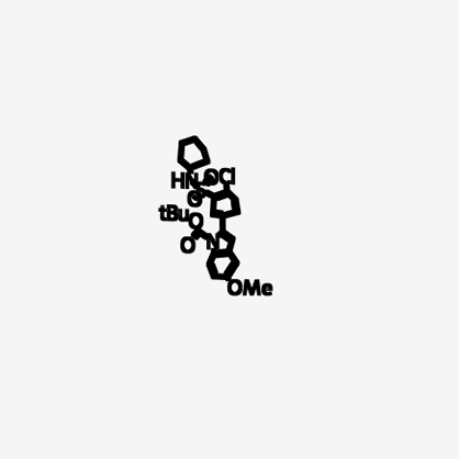 COc1ccc2c(c1)cc(-c1ccc(Cl)c(S(=O)(=O)NC3CCCCC3)c1)n2C(=O)OC(C)(C)C